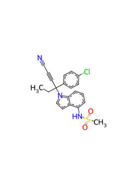 CCC(C#CC#N)(c1ccc(Cl)cc1)n1ccc2c(NS(C)(=O)=O)cccc21